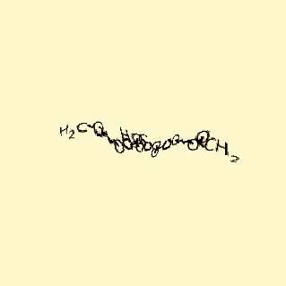 C=CCOCCCCOc1ccc(C(=O)Oc2ccc(OC(=O)c3ccc(OCCCCOC(=O)C=C)cc3)cc2C)cc1